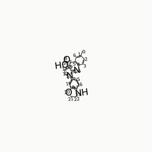 Cc1ccc2c(c1)C(=O)[C@]1(O)CCN(c3ccc4c(c3)OCCN4)C1=N2